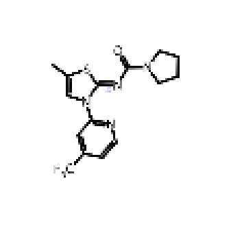 Cc1cn(-c2cc(C(F)(F)F)ccn2)/c(=N/C(=O)N2CCCC2)s1